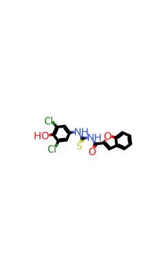 O=C(NC(=S)Nc1cc(Cl)c(O)c(Cl)c1)c1cc2ccccc2o1